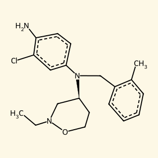 CCN1C[C@@H](N(Cc2ccccc2C)c2ccc(N)c(Cl)c2)CCO1